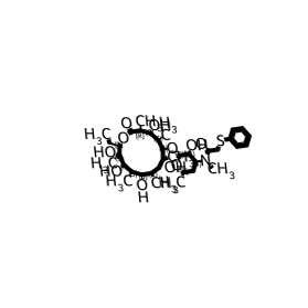 CC[C@H]1OC(=O)[C@H](C)[C@@H](O)[C@H](C)[C@@H](O[C@@H]2O[C@H](C)C[C@H](N(C)C(=O)CSc3ccccc3)[C@H]2O)C(C)(O)C[C@@H](C)[C@H](O)[C@H](C)[C@@H](O)[C@]1(C)O